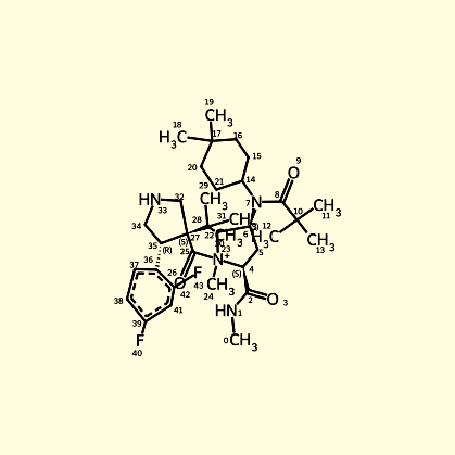 CNC(=O)[C@@H]1C[C@H](N(C(=O)C(C)(C)C)C2CCC(C)(C)CC2)C[N+]1(C)C(=O)[C@@]1(C(C)(C)C)CNC[C@H]1c1ccc(F)cc1F